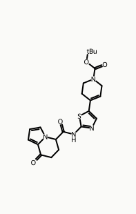 CC(C)(C)OC(=O)N1CC=C(c2cnc(NC(=O)C3CCC(=O)c4cccn43)s2)CC1